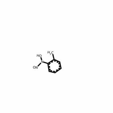 Cc1ccccc1N(O)N=O